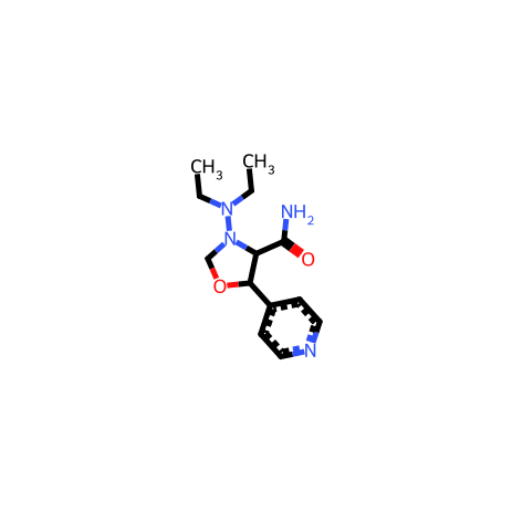 CCN(CC)N1COC(c2ccncc2)C1C(N)=O